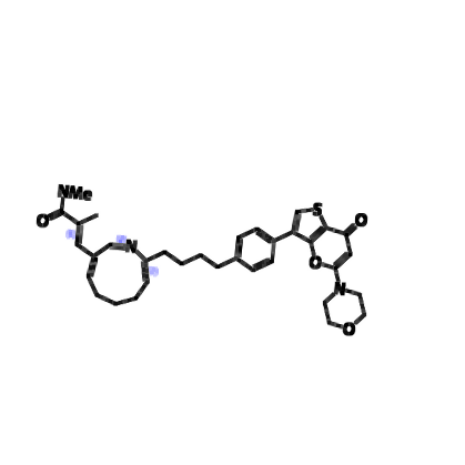 CNC(=O)/C(C)=C/C1=CCCC/C=C(CCCCc2ccc(-c3csc4c(=O)cc(N5CCOCC5)oc34)cc2)\N=C/1